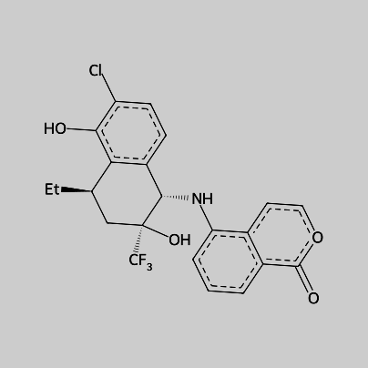 CC[C@@H]1C[C@@](O)(C(F)(F)F)[C@@H](Nc2cccc3c(=O)occc23)c2ccc(Cl)c(O)c21